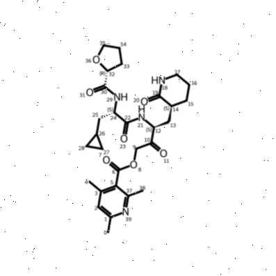 Cc1cc(C)c(C(=O)OCC(=O)[C@H](C[C@@H]2CCCNC2=O)NC(=O)[C@H](CC2CC2)NC(=O)[C@H]2CCCO2)c(C)n1